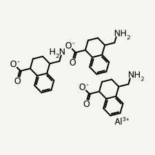 NCC1CCC(C(=O)[O-])c2ccccc21.NCC1CCC(C(=O)[O-])c2ccccc21.NCC1CCC(C(=O)[O-])c2ccccc21.[Al+3]